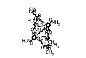 CCn1nc(C)cc1C(=O)Nc1nc2cc(C(N)=O)cc(OCCCOC(=O)c3cc(C)nn3CC)c2n1C/C=C/Cn1c2nc(-c3cc(C)nn3CC)ncc2c2cc(C(N)=O)cc(OCCCNC(=O)CCCC(=O)OC)c21